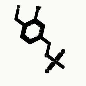 CS(=O)(=O)OCc1ccc(CF)c(Br)c1